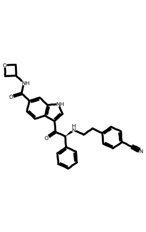 N#Cc1ccc(CCN[C@H](C(=O)c2c[nH]c3cc(C(=O)NC4COC4)ccc23)c2ccccc2)cc1